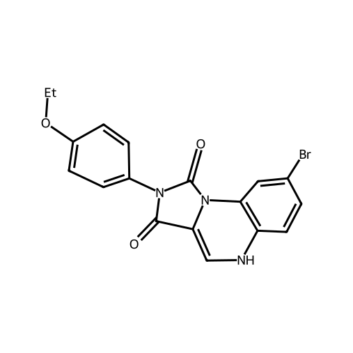 CCOc1ccc(-n2c(=O)c3c[nH]c4ccc(Br)cc4n-3c2=O)cc1